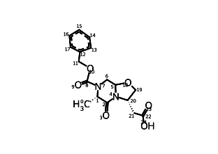 C[C@H]1C(=O)N2C(CN1C(=O)OCc1ccccc1)OC[C@@H]2CC(=O)O